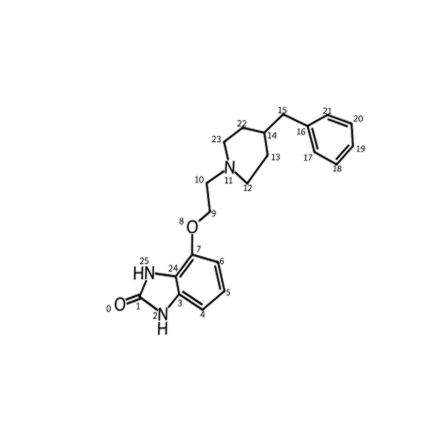 O=c1[nH]c2cccc(OCCN3CCC(Cc4ccccc4)CC3)c2[nH]1